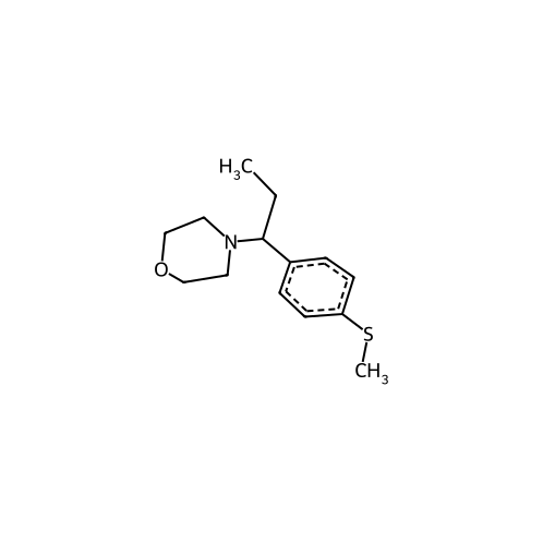 CCC(c1ccc(SC)cc1)N1CCOCC1